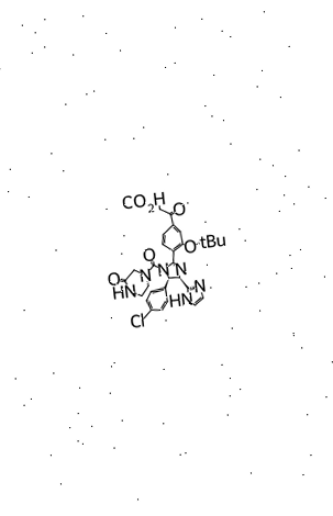 CC(C)(C)Oc1cc(C(=O)CC(=O)O)ccc1C1=N[C@@H](c2ncc[nH]2)[C@@H](c2ccc(Cl)cc2)N1C(=O)N1CCNC(=O)C1